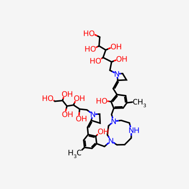 Cc1cc(C=C2CCN2CC(O)C(O)C(O)C(O)CO)c(O)c(CN2CCCNCCN(Cc3cc(C)cc(C=C4CCN4CC(O)C(O)C(O)C(O)CO)c3O)CC2)c1